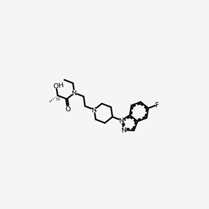 CCN(CCN1CCC(n2ncc3cc(F)ccc32)CC1)C(=O)[C@H](C)O